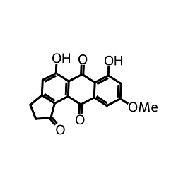 COc1cc(O)c2c(c1)C(=O)c1c(c(O)cc3c1C(=O)CC3)C2=O